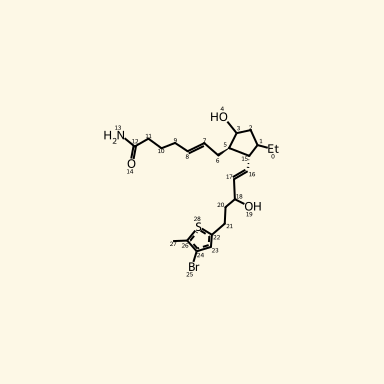 CCC1CC(O)[C@H](CC=CCCCC(N)=O)[C@H]1C=CC(O)CCc1cc(Br)c(C)s1